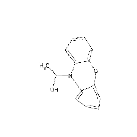 CC(O)N1c2ccccc2Oc2ccccc21